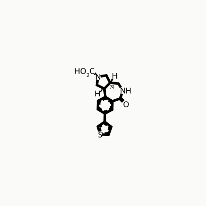 O=C1NC[C@H]2CN(C(=O)O)C[C@@H]2c2ccc(-c3ccsc3)cc21